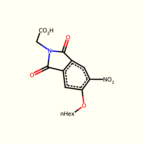 CCCCCCOc1cc2c(cc1[N+](=O)[O-])C(=O)N(CC(=O)O)C2=O